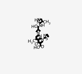 Cc1cc(N2CC(C(O)NC3=NNCC3C)C2)nc2c1c(=O)c(C(=O)O)cn2-c1nccs1